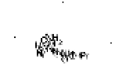 Cc1cc(Nc2nc(N3CCC[C@@H](NC(=O)c4ccc(C(C)C)cc4)[C@H]3C)cnc2C(N)=O)sn1